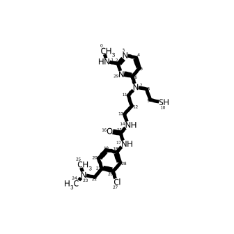 CNc1nccc(N(CCS)CCCNC(=O)Nc2ccc(CN(C)C)c(Cl)c2)n1